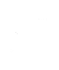 O=C(O)C1C=CC(Br)=NC1